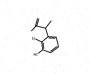 [CH2]C(C(=C)C)c1cccc(C#N)c1CC